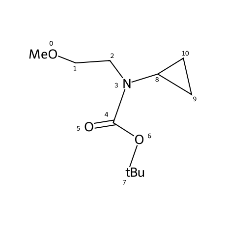 COCCN(C(=O)OC(C)(C)C)C1CC1